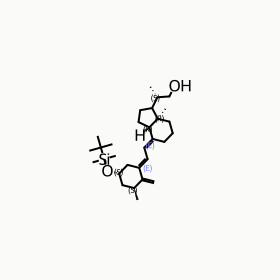 C=C1/C(=C/C=C2\CCC[C@]3(C)C([C@H](C)CO)CC[C@@H]23)C[C@@H](O[Si](C)(C)C(C)(C)C)C[C@@H]1C